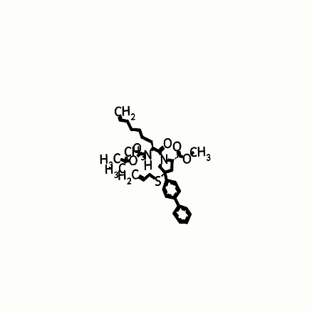 C=CCCCCC[C@H](NC(=O)OC(C)(C)C)C(=O)N1C[C@](SCC=C)(c2ccc(-c3ccccc3)cc2)C[C@H]1C(=O)OC